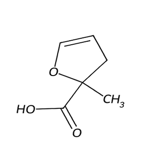 CC1(C(=O)O)CC=CO1